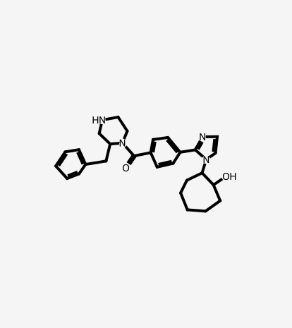 O=C(c1ccc(-c2nccn2C2CCCCCC2O)cc1)N1CCNCC1Cc1ccccc1